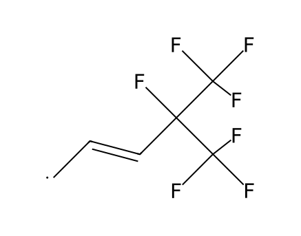 [CH2]C=CC(F)(C(F)(F)F)C(F)(F)F